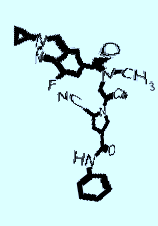 CN(CC(=O)N1CC(C(=O)Nc2ccccc2)CC1C#N)C(=O)c1cc(F)c2nn(C3CC3)cc2c1